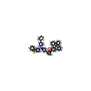 c1ccc(-c2ccc(N(c3ccc(-c4cccc5c4oc4cc6c(cc45)-c4ccccc4C6(c4ccccc4)c4ccccc4)cc3)c3ccc4sc5ccccc5c4c3)cc2)cc1